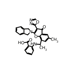 Cc1cc([C@@H](C)Nc2ccccc2C(=O)O)c2oc(N3Cc4ccccc4C3)c(-c3nnco3)c(=O)c2c1